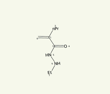 C=C(CCC)C(=O)NNCC